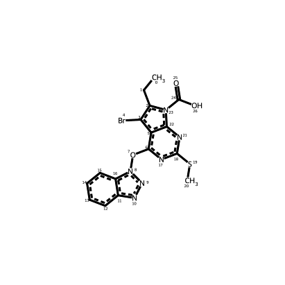 CCc1c(Br)c2c(On3nnc4ccccc43)nc(SC)nc2n1C(=O)O